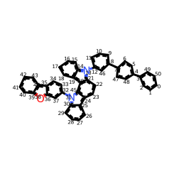 c1ccc(-c2ccc(-c3cccc(-n4c5ccccc5c5c4ccc4c6ccccc6n(-c6ccc7c(c6)oc6ccccc67)c45)c3)cc2)cc1